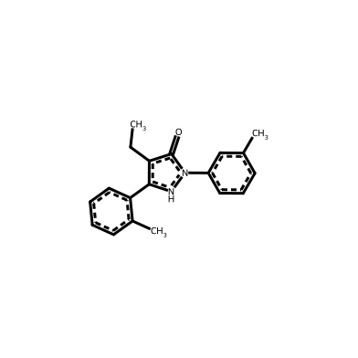 CCc1c(-c2ccccc2C)[nH]n(-c2cccc(C)c2)c1=O